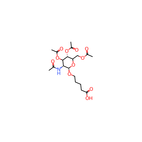 CC(=O)N[C@H]1C(OC(C)=O)[C@H](OC(C)=O)C(COC(C)=O)O[C@H]1OCCCCC(=O)O